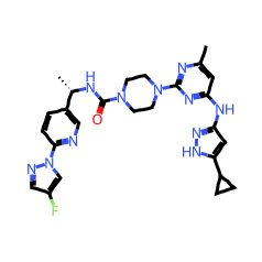 Cc1cc(Nc2cc(C3CC3)[nH]n2)nc(N2CCN(C(=O)N[C@@H](C)c3ccc(-n4cc(F)cn4)nc3)CC2)n1